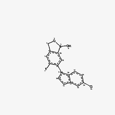 OB1OCc2cc(F)c(-n3ccc4cc(Cl)ccc43)cc21